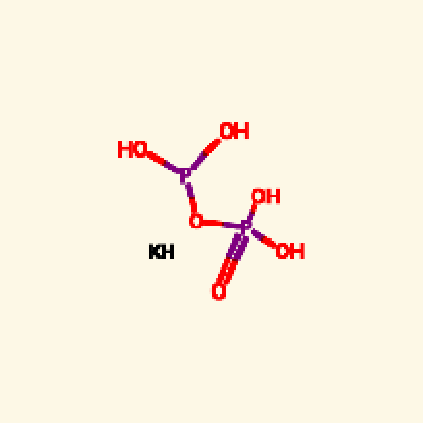 O=P(O)(O)OP(O)O.[KH]